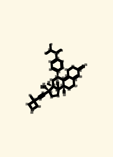 CC(C)N(C)c1ccc([C@H]2C[C@@]3(C)[C@@H](CC[C@@]3(O)C#CC3(C)COC3)[C@@H]3CCC4=CC(=O)CCC4=C32)cc1